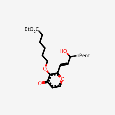 CCCCCC(O)C=Cc1occc(=O)c1OCCCCCC(=O)OCC